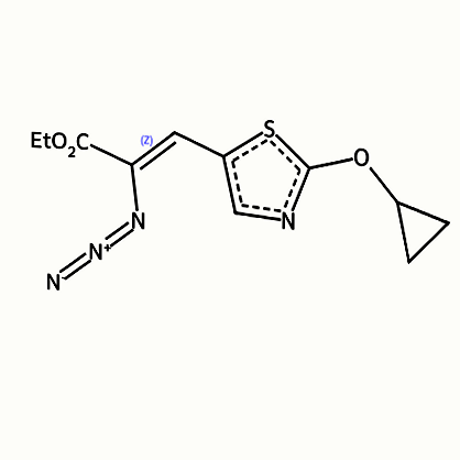 CCOC(=O)/C(=C/c1cnc(OC2CC2)s1)N=[N+]=[N-]